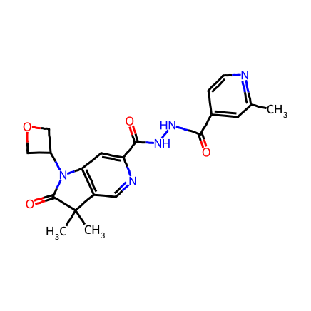 Cc1cc(C(=O)NNC(=O)c2cc3c(cn2)C(C)(C)C(=O)N3C2COC2)ccn1